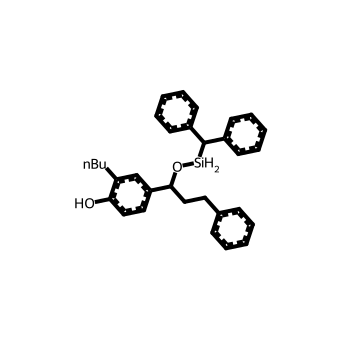 CCCCc1cc(C(CCc2ccccc2)O[SiH2]C(c2ccccc2)c2ccccc2)ccc1O